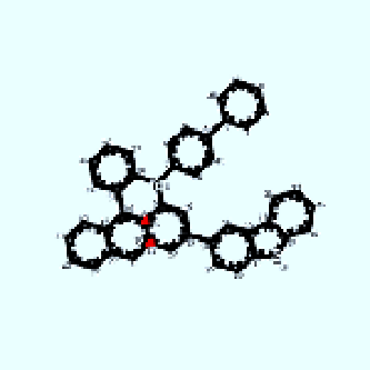 c1ccc(-c2ccc(N(c3cccc(-c4ccc5sc6ccccc6c5c4)c3)c3ccccc3-c3cccc4ccccc34)cc2)cc1